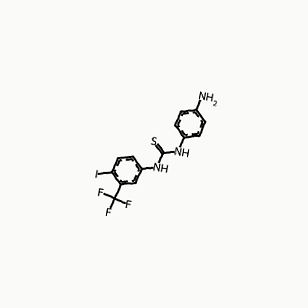 Nc1ccc(NC(=S)Nc2ccc(I)c(C(F)(F)F)c2)cc1